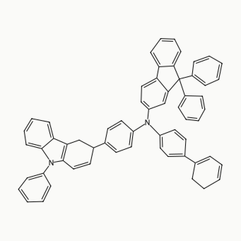 C1=CCCC(c2ccc(N(c3ccc(C4C=Cc5c(c6ccccc6n5-c5ccccc5)C4)cc3)c3ccc4c(c3)C(c3ccccc3)(c3ccccc3)c3ccccc3-4)cc2)=C1